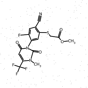 COC(=O)CSc1cc(-n2c(=O)cc(C(F)(F)F)n(C)c2=O)c(F)cc1C#N